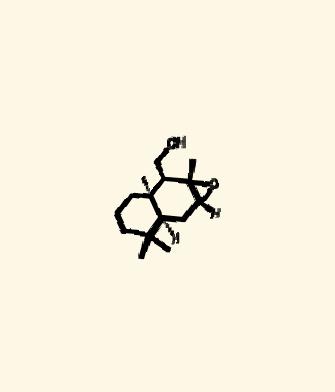 CC1(C)CCC[C@@]2(C)[C@@H](CO)[C@]3(C)O[C@@H]3C[C@@H]12